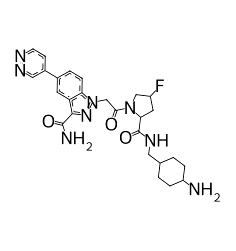 NC(=O)c1nn(CC(=O)N2CC(F)CC2C(=O)NCC2CCC(N)CC2)c2ccc(-c3ccnnc3)cc12